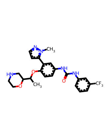 CC(Oc1ccc(NC(=O)Nc2cccc(C(F)(F)F)c2)cc1-c1ccnn1C)C1CNCCO1